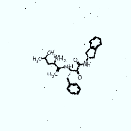 C=C(N[C@@H](Cc1ccccc1)C(=O)C(=O)NC1Cc2ccccc2C1)C(N)CC(C)C